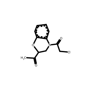 CC(=O)C1CN(C(=O)CCl)c2ccccc2O1